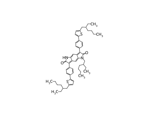 CCCCC(CC)Cc1ccc(-c2ccc(C3=c4cc5c(cc4NC3=O)=C(c3ccc(-c4ccc(CC(CC)CCCC)s4)cc3)C(=O)N5CC(CC)CCCC)cc2)s1